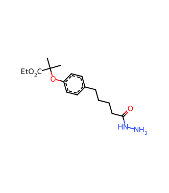 CCOC(=O)C(C)(C)Oc1ccc(CCCCC(=O)NN)cc1